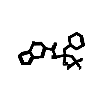 CC(CC1CC=CCC1)(CC(F)(F)F)NC(=O)c1cnc2ccccc2c1